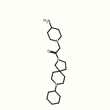 NC1CCN(CC(=O)N2CCC3(CCN(C4CCCCC4)CC3)C2)CC1